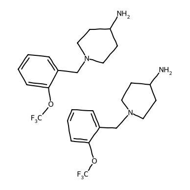 NC1CCN(Cc2ccccc2OC(F)(F)F)CC1.NC1CCN(Cc2ccccc2OC(F)(F)F)CC1